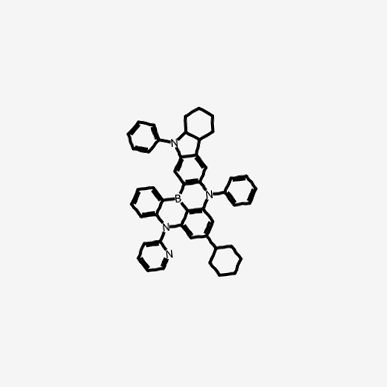 c1ccc(N2c3cc4c(cc3B3c5ccccc5N(c5ccccn5)c5cc(C6CCCCC6)cc2c53)N(c2ccccc2)C2CCCCC42)cc1